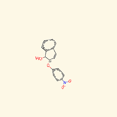 O=[N+]([O-])c1ccc(O[C@H]2C=Cc3ccccc3C2O)cc1